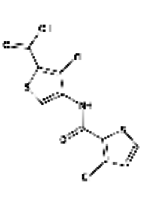 O=C(Nc1csc(C(=O)O)c1Cl)c1sccc1Cl